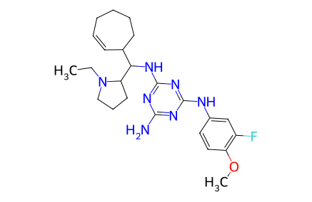 CCN1CCCC1C(Nc1nc(N)nc(Nc2ccc(OC)c(F)c2)n1)C1C=CCCCC1